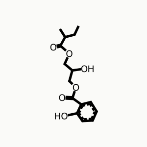 CCC(C)C(=O)OCC(O)COC(=O)c1ccccc1O